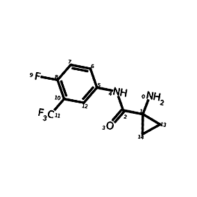 NC1(C(=O)Nc2ccc(F)c(C(F)(F)F)c2)CC1